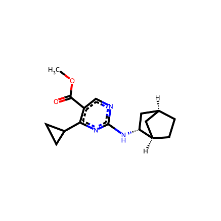 COC(=O)c1cnc(N[C@@H]2C[C@H]3CC[C@@H]2C3)nc1C1CC1